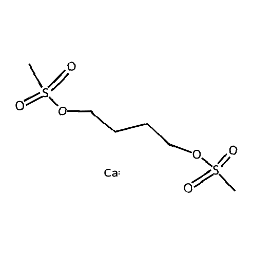 CS(=O)(=O)OCCCCOS(C)(=O)=O.[Ca]